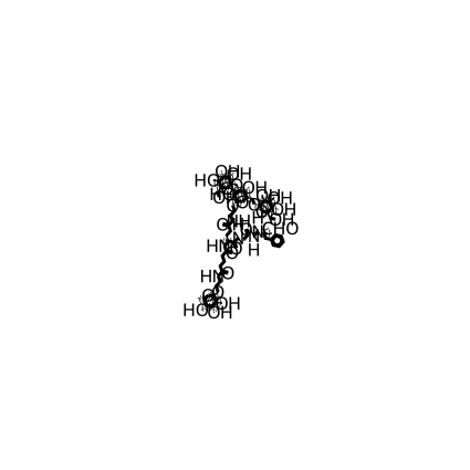 C[C@@H]1O[C@@H](OCCNC(=O)CCCC(=O)N[C@@H](CCC(=O)NCCO[C@H]2O[C@H](CO[C@H]3O[C@H](CO)[C@@H](O)[C@H](O)[C@@H]3O)[C@@H](O)[C@H](O[C@H]3O[C@H](CO)[C@@H](O)[C@H](O)[C@@H]3O)[C@@H]2O)C(=O)NCC(=O)NN[C@H](C=O)Cc2ccccc2)[C@@H](O)[C@H](O)[C@@H]1O